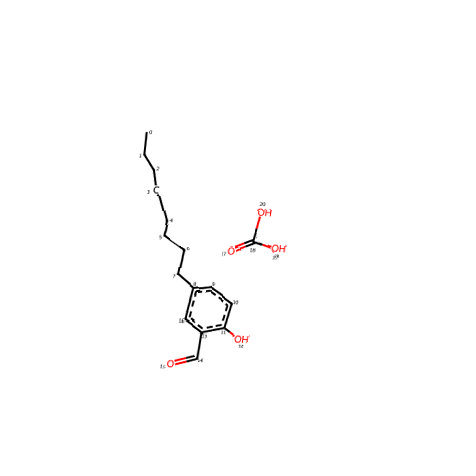 CCCCCCCCc1ccc(O)c(C=O)c1.O=C(O)O